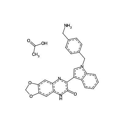 CC(=O)O.NCc1ccc(Cn2cc(-c3nc4cc5c(cc4[nH]c3=O)OCO5)c3ccccc32)cc1